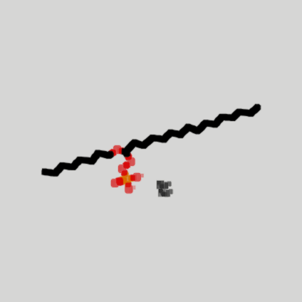 CCCCCCCCCCCCCCCC(OCCCCCCCC)OOP(=O)([O-])[O-].[Na+].[Na+]